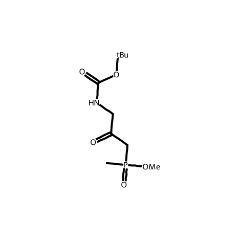 COP(C)(=O)CC(=O)CNC(=O)OC(C)(C)C